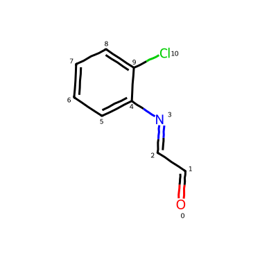 O=CC=Nc1ccccc1Cl